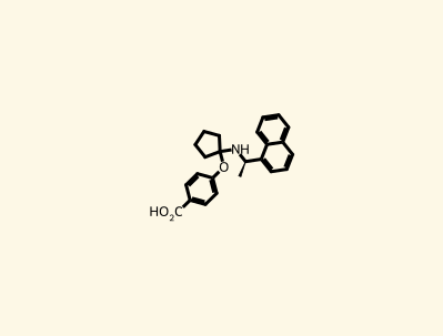 C[C@@H](NC1(Oc2ccc(C(=O)O)cc2)CCCC1)c1cccc2ccccc12